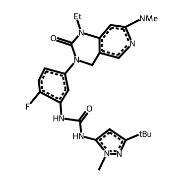 CCN1C(=O)N(c2ccc(F)c(NC(=O)Nc3cc(C(C)(C)C)nn3C)c2)Cc2cnc(NC)cc21